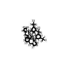 CC(C)(C)c1cc(P2Oc3ccccc3Cc3cccn32)c2c(c1)C(C)(C)c1cc(C(C)(C)C)cc(P3n4cccc4Cc4cccn43)c1O2